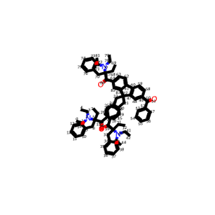 CCN(CC)C(CC)(Cc1ccccc1)C(=O)c1ccc(CC2(Cc3ccc(C(=O)C(CC)(Cc4ccccc4)N(CC)CC)cc3)c3cc(C(=O)c4ccccc4)ccc3-c3ccc(C(=O)C(CC)(Cc4ccccc4)N(CC)CC)cc32)cc1